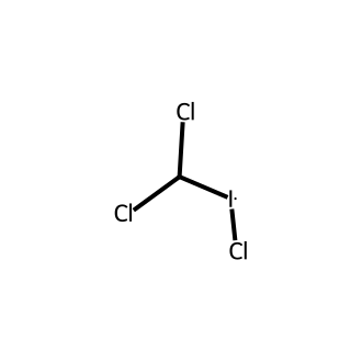 Cl[I]C(Cl)Cl